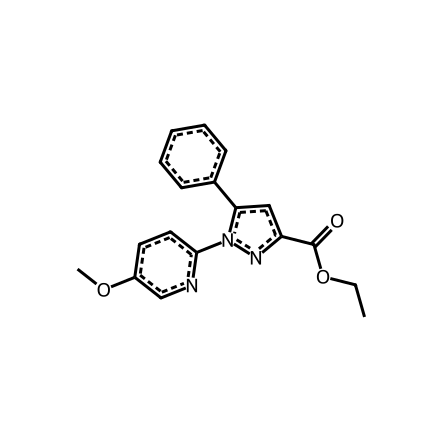 CCOC(=O)c1cc(-c2ccccc2)n(-c2ccc(OC)cn2)n1